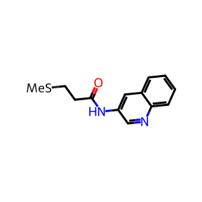 CSCCC(=O)Nc1cnc2ccccc2c1